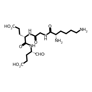 NCCCC[C@H](N)C(=O)NCC(=O)N[C@@H](CCC(=O)O)C(=O)N[C@H]([C]=O)CCC(=O)O